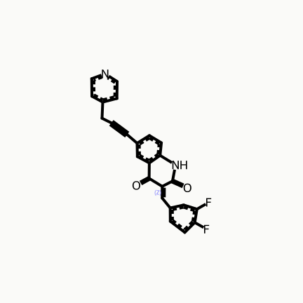 O=C1Nc2ccc(C#CCc3ccncc3)cc2C(=O)/C1=C/c1ccc(F)c(F)c1